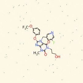 Cn1c(=O)n(CCCO)c(=O)c2c1nc(Oc1cccc(OC(F)(F)F)c1)n2Cc1cncc(F)c1